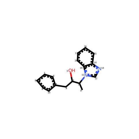 CC(C(O)Cc1ccccc1)n1cnc2ccccc21